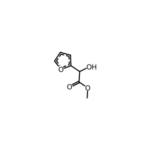 COC(=O)C(O)c1ccco1